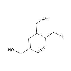 OCC1=CC(CO)C(CI)C=C1